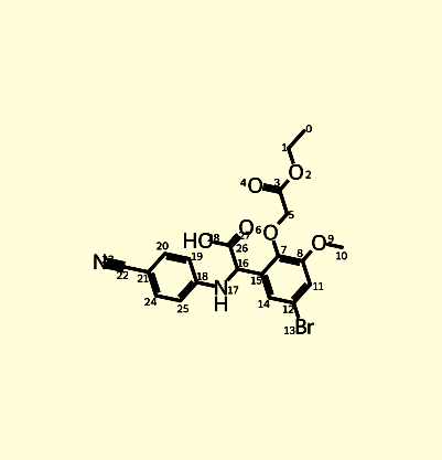 CCOC(=O)COc1c(OC)cc(Br)cc1C(Nc1ccc(C#N)cc1)C(=O)O